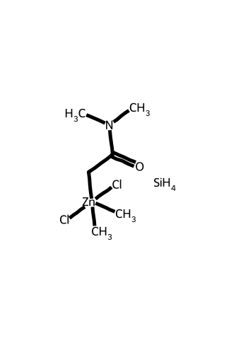 CN(C)C(=O)[CH2][Zn]([CH3])([CH3])([Cl])[Cl].[SiH4]